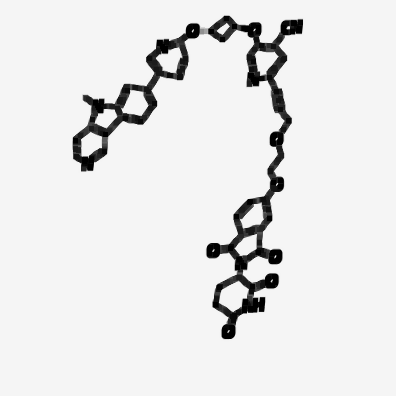 Cn1c2ccncc2c2ccc(-c3ccc(O[C@H]4C[C@H](Oc5cnc(C#CCOCCOc6ccc7c(c6)C(=O)N(C6CCC(=O)NC6=O)C7=O)cc5C#N)C4)nc3)cc21